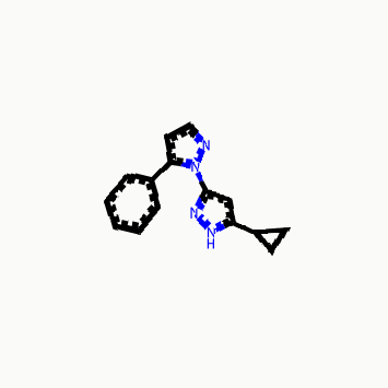 c1ccc(-c2ccnn2-c2cc(C3CC3)[nH]n2)cc1